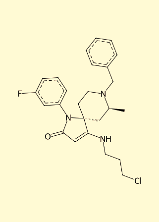 C[C@H]1C[C@]2(CCN1Cc1ccccc1)C(NCCCCl)=CC(=O)N2c1cccc(F)c1